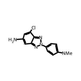 CNc1ccc(-n2nc3[c]c(N)cc(Cl)c3n2)cc1